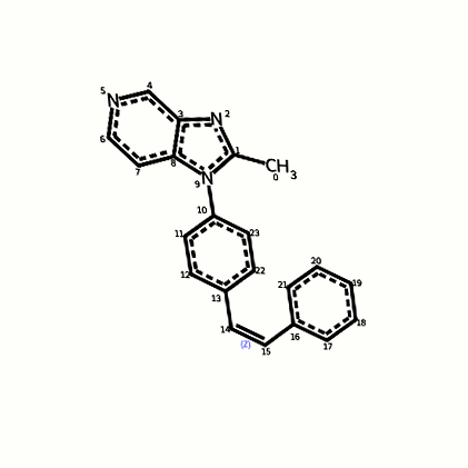 Cc1nc2cnccc2n1-c1ccc(/C=C\c2ccccc2)cc1